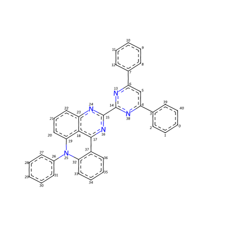 c1ccc(-c2cc(-c3ccccc3)nc(-c3nc4c5c(cccc5n3)N(c3ccccc3)c3ccccc3-4)n2)cc1